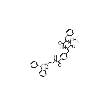 Cn1c(=O)c(=Cc2ccc(C(=O)NCCNCC(c3ccccc3)c3ccccc3)cc2)[nH]c(=O)c1=Cc1ccccc1